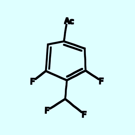 CC(=O)c1cc(F)c(C(F)F)c(F)c1